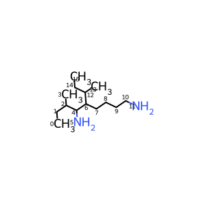 CCC(C)C(N)C(CCCCN)C(C)CC